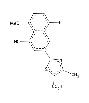 COc1ccc(F)c2cc(-c3nc(C)c(C(=O)O)s3)cc(C#N)c12